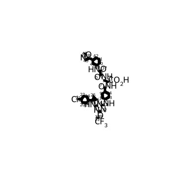 O=C(NC[C@H](NC(=O)c1ccc(Nc2nc(NC3(c4ccc(Cl)cc4)CC3)nc(OCC(F)(F)F)n2)cc1)C(=O)O)C(=O)Nc1cccc(-c2cnco2)c1